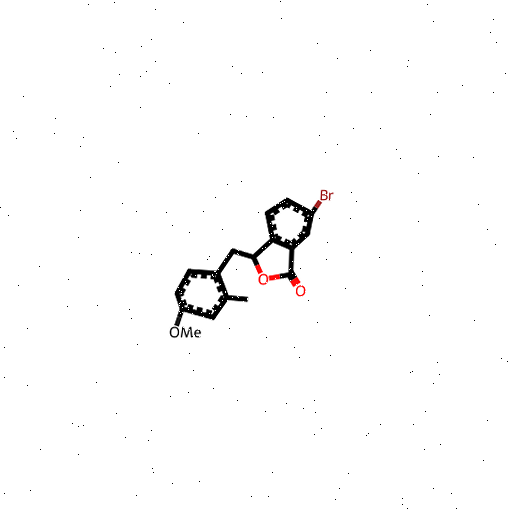 COc1ccc(CC2OC(=O)c3cc(Br)ccc32)c(C)c1